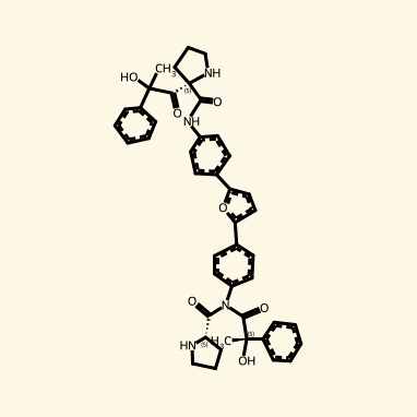 CC(O)(C(=O)[C@]1(C(=O)Nc2ccc(-c3ccc(-c4ccc(N(C(=O)[C@@H]5CCCN5)C(=O)[C@@](C)(O)c5ccccc5)cc4)o3)cc2)CCCN1)c1ccccc1